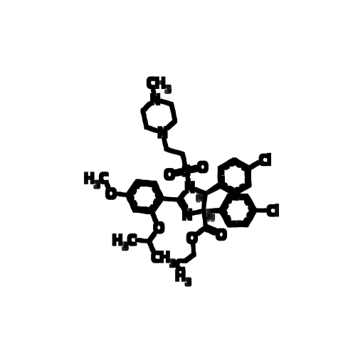 CCOC(=O)[C@]1(c2ccc(Cl)cc2)N=C(c2ccc(OC)cc2OC(C)C)N(S(=O)(=O)CCN2CCN(C)CC2)[C@H]1c1ccc(Cl)cc1